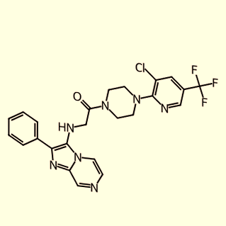 O=C(CNc1c(-c2ccccc2)nc2cnccn12)N1CCN(c2ncc(C(F)(F)F)cc2Cl)CC1